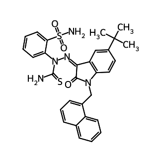 CC(C)(C)c1ccc2c(c1)/C(=N/N(C(N)=S)c1ccccc1S(N)(=O)=O)C(=O)N2Cc1cccc2ccccc12